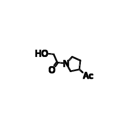 CC(=O)C1CCN(C(=O)CO)C1